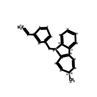 C=Cc1cccc(Cn2c3c(c4ccccc42)C=C[C@H](C)C=C3)c1